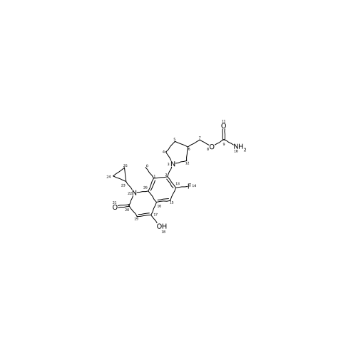 Cc1c(N2CCC(COC(N)=O)C2)c(F)cc2c(O)cc(=O)n(C3CC3)c12